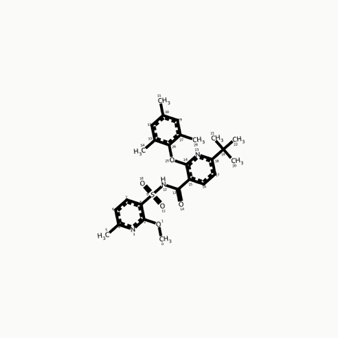 COc1nc(C)ccc1S(=O)(=O)NC(=O)c1ccc(C(C)(C)C)nc1Oc1c(C)cc(C)cc1C